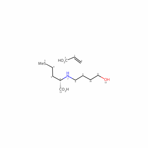 C=CC(=O)O.CSCC[C@H](NCCCCO)C(=O)O